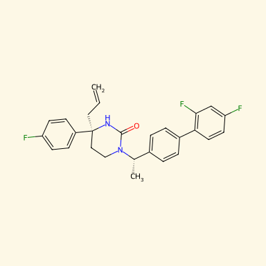 C=CC[C@@]1(c2ccc(F)cc2)CCN([C@@H](C)c2ccc(-c3ccc(F)cc3F)cc2)C(=O)N1